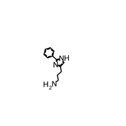 NCCCc1c[nH]c(-c2ccccc2)n1